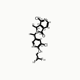 CC(c1cnc(OCC(F)F)c(Cl)c1)N1C(=O)c2ccnc(Cl)c2C1C